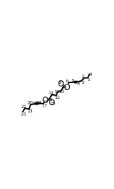 CCCCC#CCOC(=O)CCCCC(=O)OCC#CCCCC